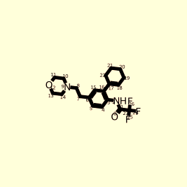 O=C(Nc1ccc(CCN2CCOCC2)cc1C1=CCCCC1)C(F)(F)F